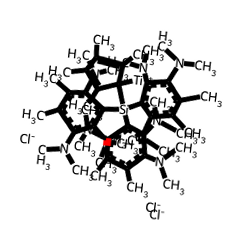 CC1=C(C)[C]([Ti+3])([Si](c2c(N(C)C)c(C)c(C)c(N(C)C)c2N(C)C)(c2c(N(C)C)c(C)c(C)c(N(C)C)c2N(C)C)c2c(N(C)C)c(C)c(C)c(N(C)C)c2N(C)C)C(C)=C1C.[Cl-].[Cl-].[Cl-]